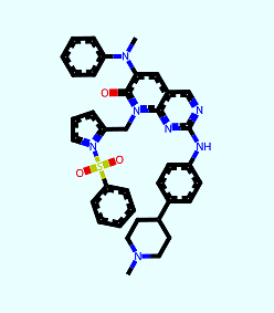 CN1CCC(c2ccc(Nc3ncc4cc(N(C)c5ccccc5)c(=O)n(Cc5cccn5S(=O)(=O)c5ccccc5)c4n3)cc2)CC1